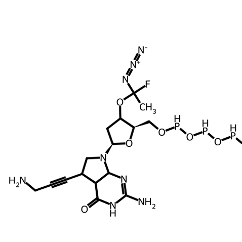 CC(F)(N=[N+]=[N-])OC1C[C@H](N2CC(C#CCN)C3C(=O)NC(N)=NC32)O[C@@H]1COPOPOPO